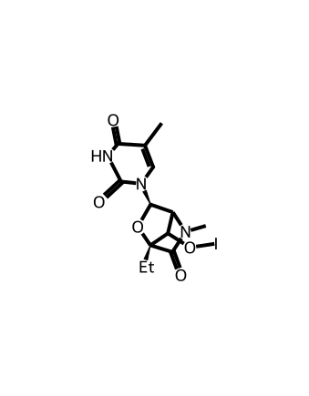 CC[C@@]12O[C@@H](n3cc(C)c(=O)[nH]c3=O)C(C1OI)N(C)C2=O